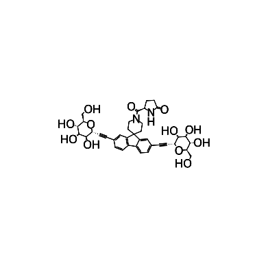 O=C1CC[C@H](C(=O)N2CCC3(CC2)c2cc(C#C[C@H]4O[C@H](CO)[C@@H](O)[C@H](O)[C@@H]4O)ccc2-c2ccc(C#C[C@H]4O[C@H](CO)[C@@H](O)[C@H](O)[C@@H]4O)cc23)N1